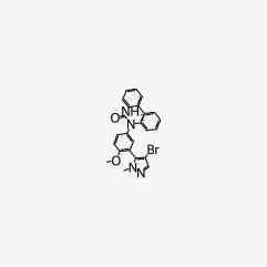 COc1ccc(N(C(N)=O)c2ccccc2-c2ccccc2)cc1-c1c(Br)cnn1C